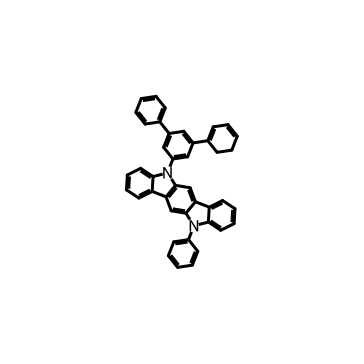 C1=CCCC(c2cc(-c3ccccc3)cc(-n3c4ccccc4c4cc5c(cc43)c3ccccc3n5-c3ccccc3)c2)=C1